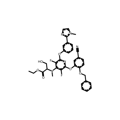 CCOC(=O)C(CO)N(C)c1c(F)c(Oc2cccc(-c3nccn3C)c2)nc(Oc2cc(C#N)ccc2OCc2ccccc2)c1F